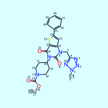 CCn1nnc(Cn2c(=O)n(C3CCN(C(=O)OC(C)(C)C)CC3)c(=O)c3sc(-c4ccccc4)cc32)n1